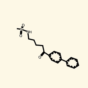 CS(=O)(=O)NCCCCC(=O)c1ccc(-c2ccccc2)cc1